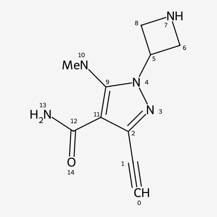 C#Cc1nn(C2CNC2)c(NC)c1C(N)=O